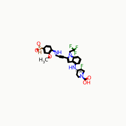 COc1cc([SH](=O)=O)ccc1NCC#Cc1cc2c(N[C@H]3CCN(C(=O)O)C[C@H]3F)cccc2n1CC(F)(F)F